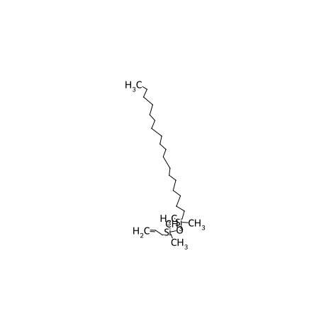 C=CC[Si](C)(C)O[Si](C)(C)CCCCCCCCCCCCCCCCCC